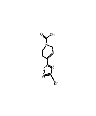 O=C(O)N1CC=C(c2nc(Br)ns2)CC1